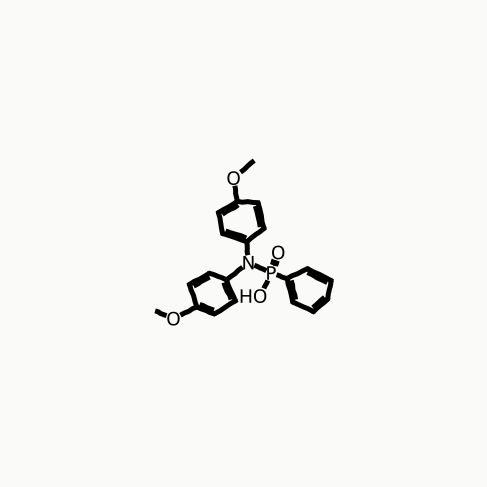 COc1ccc(N(c2ccc(OC)cc2)P(=O)(O)c2ccccc2)cc1